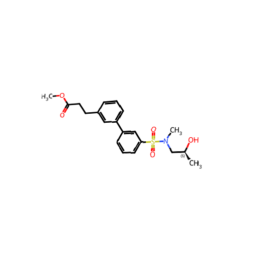 COC(=O)CCc1cccc(-c2cccc(S(=O)(=O)N(C)C[C@H](C)O)c2)c1